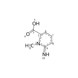 Cn1c(C(=O)O)cccc1=N